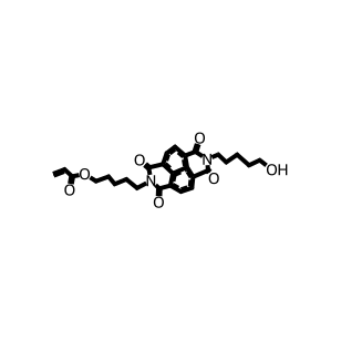 C=CC(=O)OCCCCCN1C(=O)c2ccc3c4c(ccc(c24)C1=O)C(=O)N(CCCCCO)C3=O